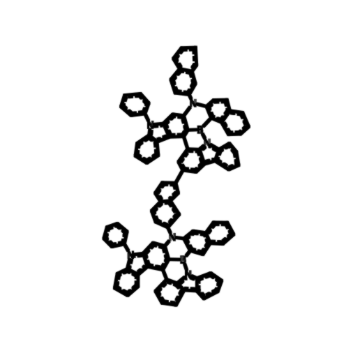 c1ccc(-n2c3ccccc3c3c4c5c(cc32)N(c2ccc3ccc(-c6cc7c8c(c6)c6ccccc6n8B6c8c(cc9c(c8-7)c7ccccc7n9-c7ccccc7)N(c7ccc8ccccc8c7)c7ccc8ccccc8c76)cc3c2)c2cc3ccccc3cc2B5n2c3ccccc3c3cccc-4c32)cc1